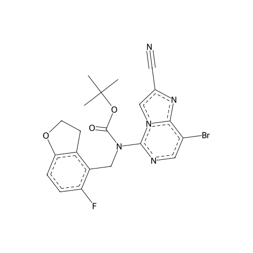 CC(C)(C)OC(=O)N(Cc1c(F)ccc2c1CCO2)c1ncc(Br)c2nc(C#N)cn12